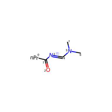 [CH2]CCC(=O)/N=C/N(C)C